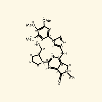 COc1cc(-n2cnc(Nc3nc(N4CCCC4CO)nc4c3CN(C(C)C)C4=O)c2)cc(OC)c1OC